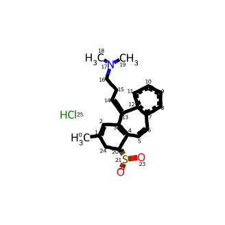 CC1=CC2=C(C=Cc3ccccc3C2=CCCN(C)C)C(=S(=O)=O)C1.Cl